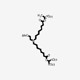 CCCCCCCCC(CCCCCCCC)OC(=O)CCCCCCCN(CCCCCCCC(=O)O[C@H](C)CCCCCCCC)CCOC